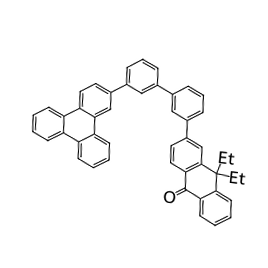 CCC1(CC)c2ccccc2C(=O)c2ccc(-c3cccc(-c4cccc(-c5ccc6c7ccccc7c7ccccc7c6c5)c4)c3)cc21